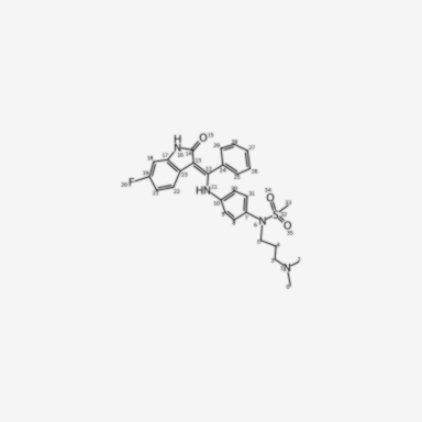 CN(C)CCCN(c1ccc(NC(=C2C(=O)Nc3cc(F)ccc32)c2ccccc2)cc1)S(C)(=O)=O